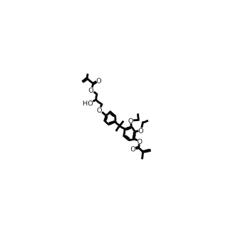 C=C(C)C(=O)OCC(O)COc1ccc(C(C)(C)c2ccc(OC(=O)C(=C)C)c(OCC)c2OCC)cc1